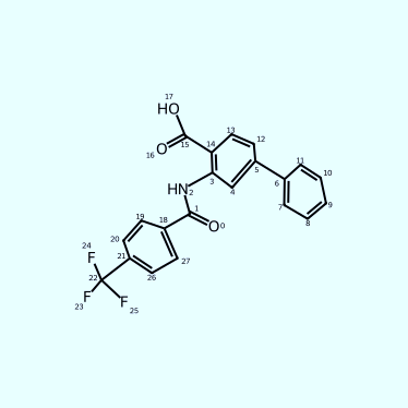 O=C(Nc1cc(-c2ccccc2)ccc1C(=O)O)c1ccc(C(F)(F)F)cc1